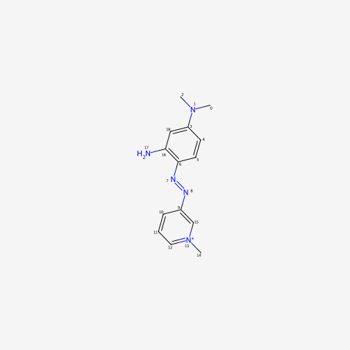 CN(C)c1ccc(N=Nc2ccc[n+](C)c2)c(N)c1